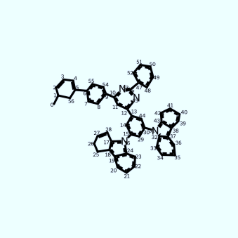 CC1C=CC=C(c2ccc(-c3cc(-c4cc(-n5c6c(c7ccccc75)CCC=C6)cc(-n5c6ccccc6c6ccccc65)c4)nc(-c4ccccc4)n3)cc2)C1